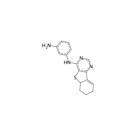 Nc1cccc(Nc2ncnc3c2SC2CCCC=C32)c1